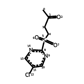 CC(=O)CCS(=O)(=O)c1ncc(Cl)cn1